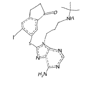 CC(C)(C)NCCCn1c(Sc2cc3c(cc2I)CCC3=O)nc2c(N)ncnc21